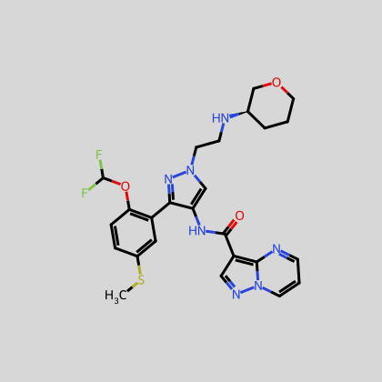 CSc1ccc(OC(F)F)c(-c2nn(CCN[C@@H]3CCCOC3)cc2NC(=O)c2cnn3cccnc23)c1